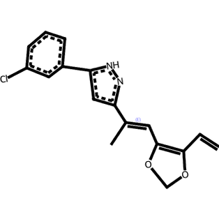 C=CC1=C(/C=C(\C)c2cc(-c3cccc(Cl)c3)[nH]n2)OCO1